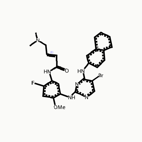 COc1cc(F)c(NC(=O)/C=C/CN(C)C)cc1Nc1ncc(Br)c(Nc2ccc3ccccc3c2)n1